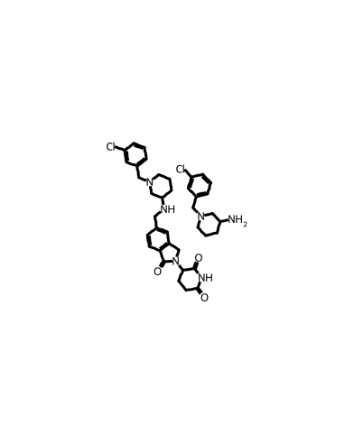 NC1CCCN(Cc2cccc(Cl)c2)C1.O=C1CCC(N2Cc3cc(CNC4CCCN(Cc5cccc(Cl)c5)C4)ccc3C2=O)C(=O)N1